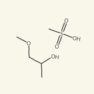 COCC(C)O.CS(=O)(=O)O